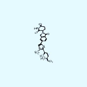 C=C(/C=C\C(C)=C/C)c1nc(-c2ccc3c(c2)CN(C2CCC(=O)NC2=O)C3=O)cn1C